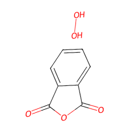 O=C1OC(=O)c2ccccc21.OO